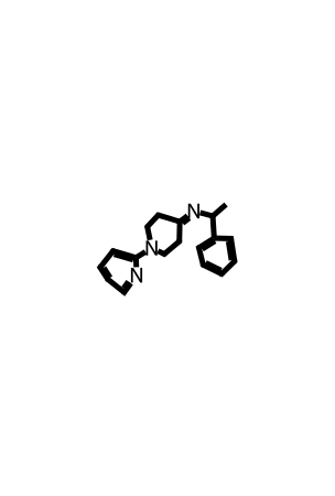 CC(N=C1CCN(c2ccccn2)CC1)c1ccccc1